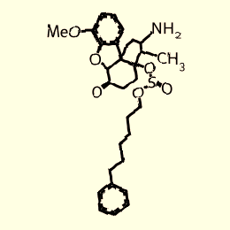 COc1cccc2c1OC1C(=O)CCC3(OS(=O)OCCCCCCc4ccccc4)C(C)C(N)CCC213